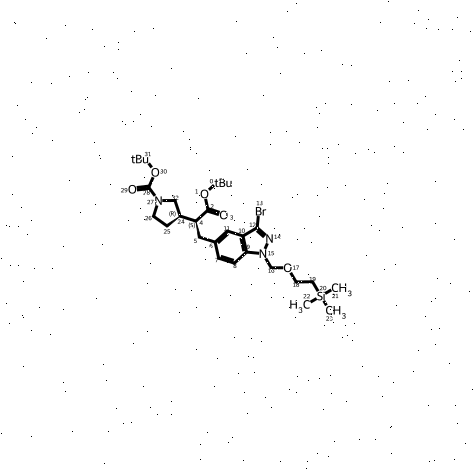 CC(C)(C)OC(=O)[C@@H](Cc1ccc2c(c1)c(Br)nn2COCC[Si](C)(C)C)[C@H]1CCN(C(=O)OC(C)(C)C)C1